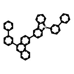 c1ccc(-c2cccc(-c3cc4ccccc4c4cc(-c5ccc6c(c5)c5ccccc5n6-c5cccc(-c6ccccc6)c5)ccc34)c2)cc1